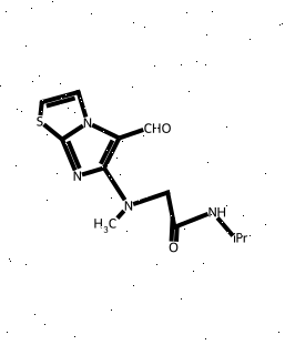 CC(C)NC(=O)CN(C)c1nc2sccn2c1C=O